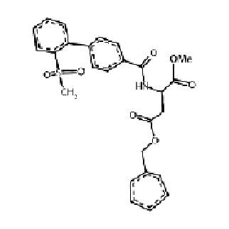 COC(=O)C(CC(=O)OCc1ccccc1)NC(=O)c1ccc(-c2ccccc2S(C)(=O)=O)cc1